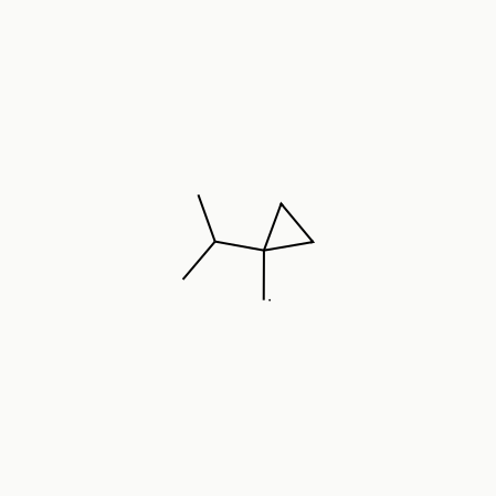 [CH2]C1(C(C)C)CC1